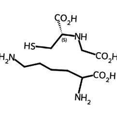 NCCCCC(N)C(=O)O.O=C(O)CN[C@H](CS)C(=O)O